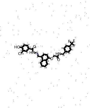 O=C(COc1ccc(/C=N/NC(=O)c2ccc(O)c(Cl)c2)c2ccccc12)NCc1ccc(C(F)(F)F)cc1